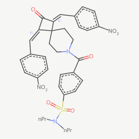 CCCN(CCC)S(=O)(=O)c1ccc(C(=O)N2CCC3(CC2)/C(=C\c2ccc([N+](=O)[O-])cc2)C(=O)/C3=C/c2ccc([N+](=O)[O-])cc2)cc1